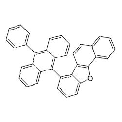 c1ccc(-c2c3ccccc3c(-c3cccc4oc5c6ccccc6ccc5c34)c3ccccc23)cc1